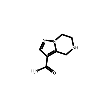 NC(=O)c1cnn2c1CNCC2